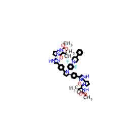 COC(=O)N[C@H](C(=O)N1CCCC1c1nc(-c2ccc([C@H]3CCC(c4ccc(-c5c[nH]c([C@@H]6CCCN6C(=O)[C@@H](NC(=O)OC)C(C)C)n5)cc4)N3c3cc(F)c(N4CCC(c5ccccc5)CC4)c(F)c3)cc2)c[nH]1)C(C)C